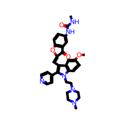 CNC(=O)Nc1ccc2c(c1)C(=O)C(=Cc1c(-c3ccncc3)n(CCN3CCN(C)CC3)c3ccc(OC)cc13)O2